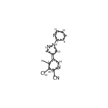 Cc1c(-c2cnn(-c3ccccn3)c2)cnc(C#N)c1Cl